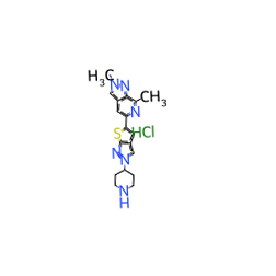 Cc1nc(-c2cc3cn(C4CCNCC4)nc3s2)cc2cn(C)nc12.Cl